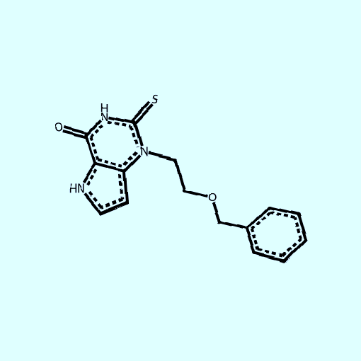 O=c1[nH]c(=S)n(CCOCc2ccccc2)c2cc[nH]c12